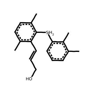 Cc1cccc([SiH2]c2c(C)ccc(C)c2C=CCO)c1C